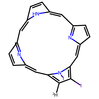 [2H]c1c(I)c2cc3nc(cc4ccc(cc5nc(cc1n2I)C=C5)[nH]4)C=C3